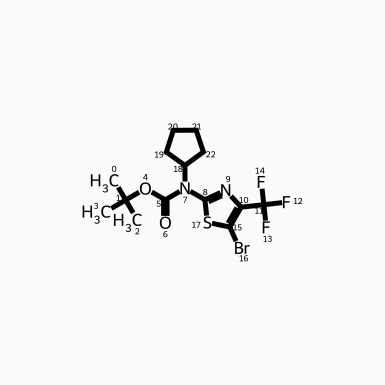 CC(C)(C)OC(=O)N(c1nc(C(F)(F)F)c(Br)s1)C1CCCC1